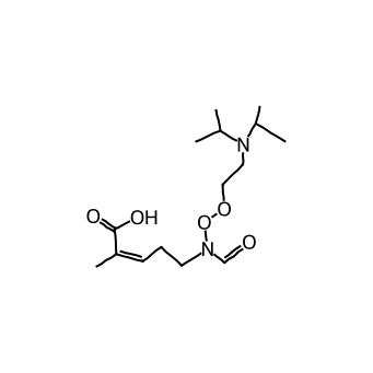 CC(=CCCN(C=O)OOCCN(C(C)C)C(C)C)C(=O)O